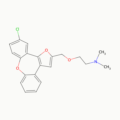 CN(C)CCOCc1cc2c(o1)-c1cc(Cl)ccc1Oc1ccccc1-2